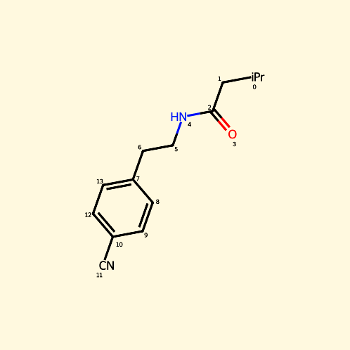 CC(C)CC(=O)NCCc1ccc(C#N)cc1